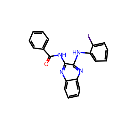 O=C(Nc1nc2ccccc2nc1Nc1ccccc1I)c1ccccc1